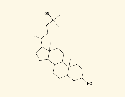 C[C@H](CCC(C)(C)N=O)C1CCC2C3CCC4CC(N=O)CCC4(C)C3CCC21C